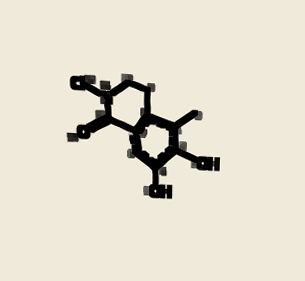 Cc1c(O)c(O)cc2c1CCN(Cl)C2=O